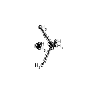 CCCCCCCCCCCCCCCC(=O)OC(CN(C)CCO)OC(=O)CCCCCCCCCCCCCCC.COS(=O)(=O)O.[Na]